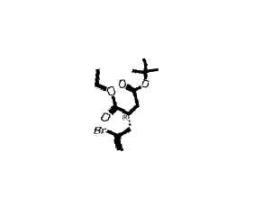 C=C(Br)C[C@@H](CC(=O)OC(C)(C)C)C(=O)OCC